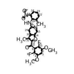 COc1cc(OC)c(F)c(C(=O)c2oc3cnc(Nc4c(C)cccc4[N+](=O)[O-])cc3c2C)c1F